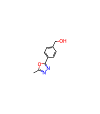 Cc1nnc(-c2ccc(CO)cc2)o1